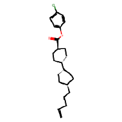 C=CCCC[C@H]1CC[C@H]([C@H]2CC[C@H](C(=O)Oc3ccc(Cl)cc3)CC2)CC1